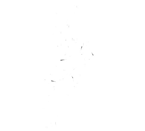 C=C(C)[C@@H]1CC[C@]2(NC(=O)C3(NC(=O)OC(C)(C)C)CC3)CC[C@]3(C)[C@H](CC[C@@H]4[C@@]5(C)CC=C(c6ccc(C(=O)O)cc6)C(C)(C)[C@@H]5CC[C@]43C)[C@@H]12